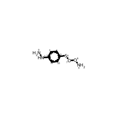 NNc1ccc(SOON)cc1